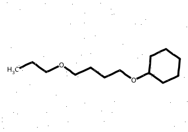 CCCOCCCCO[C]1CCCCC1